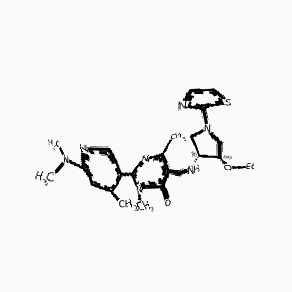 CCO[C@@H]1CN(c2nccs2)C[C@H]1Nc1c(C)nc(-c2cnc(N(C)C)cc2C)n(C)c1=O